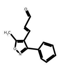 Cc1onc(-c2ccccc2)c1C=CC=O